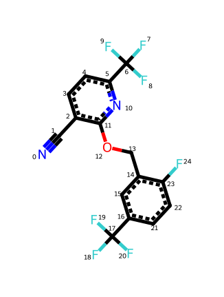 N#Cc1ccc(C(F)(F)F)nc1OCc1cc(C(F)(F)F)ccc1F